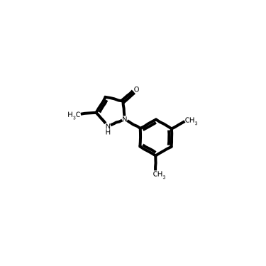 Cc1cc(C)cc(-n2[nH]c(C)cc2=O)c1